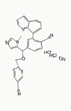 Cl.Cl.Cl.Cn1cncc1C(OCc1ccc(C#N)cn1)c1ccc(C#N)c(-c2cccc3cccnc23)c1